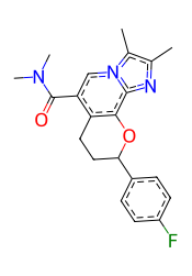 Cc1nc2c3c(c(C(=O)N(C)C)cn2c1C)CCC(c1ccc(F)cc1)O3